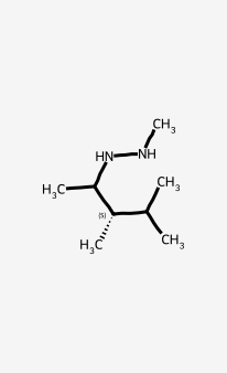 CNNC(C)[C@@H](C)C(C)C